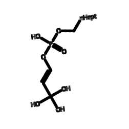 CCCCCCCCOP(=O)(O)OC=CC(O)(O)O